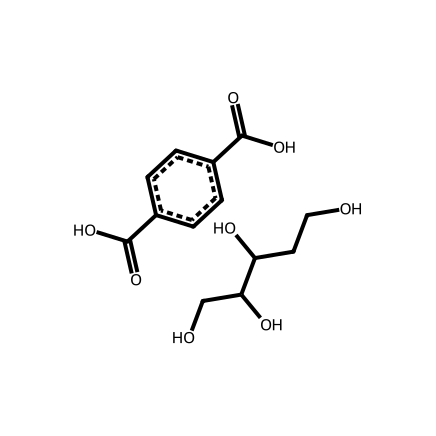 O=C(O)c1ccc(C(=O)O)cc1.OCCC(O)C(O)CO